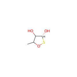 CC1OS[C@@H](O)C1O